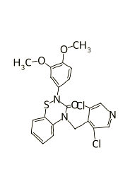 COc1ccc(N2Sc3ccccc3N(Cc3c(Cl)cncc3Cl)C2=O)cc1OC